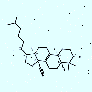 CC(C)CCC[C@@H](C)[C@H]1CC[C@@]2(C#N)C3=C(CC[C@]12C)[C@@]1(C)CC[C@H](O)C(C)(C)[C@@H]1CC3